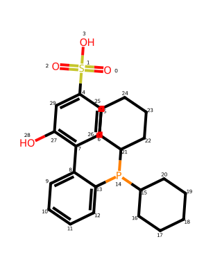 O=S(=O)(O)c1ccc(-c2ccccc2P(C2CCCCC2)C2CCCCC2)c(O)c1